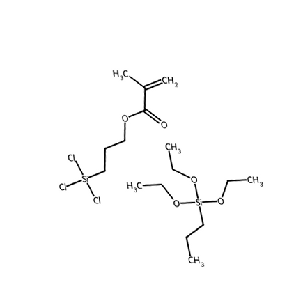 C=C(C)C(=O)OCCC[Si](Cl)(Cl)Cl.CCC[Si](OCC)(OCC)OCC